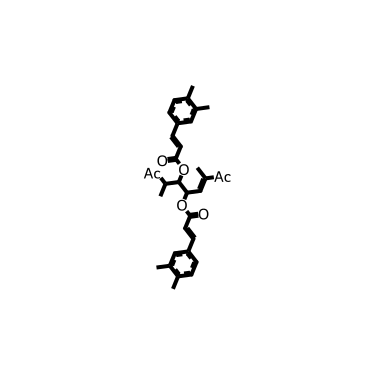 CC(=O)/C(C)=C/C(OC(=O)/C=C/c1ccc(C)c(C)c1)C(OC(=O)/C=C/c1ccc(C)c(C)c1)C(C)C(C)=O